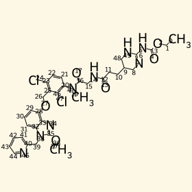 CCOC(=O)NC1=NCC(CCC(=O)NCC(=O)N(C)c2ccc(Cl)c(COc3cccc4c3nc(OC)n4Cc3ccccn3)c2Cl)CN1